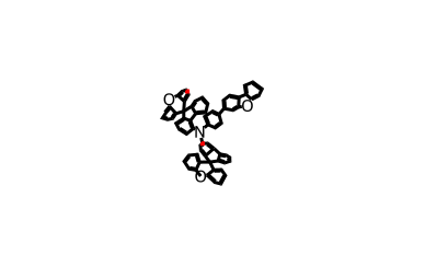 c1ccc2c(c1)Oc1ccccc1C21c2ccccc2-c2cc(N(c3ccc(-c4ccc5c(c4)oc4ccccc45)cc3)c3cccc4c3-c3ccccc3C43c4ccccc4Oc4ccccc43)ccc21